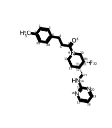 Cc1ccc(CCC(=O)N2CC[C@@H](CNc3ncccn3)[C@@H](F)C2)cc1